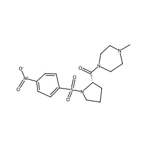 CN1CCN(C(=O)[C@@H]2CCCN2S(=O)(=O)c2ccc([N+](=O)[O-])cc2)CC1